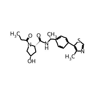 CCC(=O)N1C[C@H](O)C[C@H]1C(=O)N[C@H](C)c1ccc(-c2scnc2C)cc1